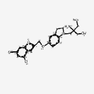 NC(CO)(CO)CN1CCc2cc(OCc3cc4c(Cl)cc(Cl)cc4o3)ccc21